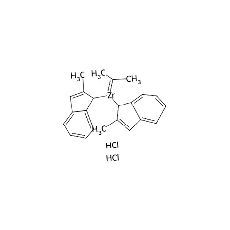 CC1=Cc2ccccc2[CH]1[Zr](=[C](C)C)[CH]1C(C)=Cc2ccccc21.Cl.Cl